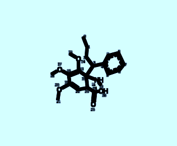 CCCC(c1ccccc1)C1(NC)C(OC)=C(OC)C(OC)=CC1C(=O)O